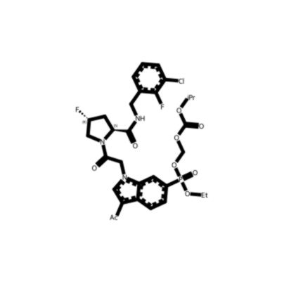 CCOP(=O)(OCOC(=O)OC(C)C)c1ccc2c(C(C)=O)cn(CC(=O)N3C[C@H](F)C[C@H]3C(=O)NCc3cccc(Cl)c3F)c2c1